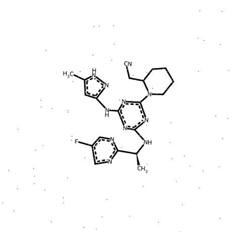 Cc1cc(Nc2nc(N[C@@H](C)c3ncc(F)cn3)nc(N3CCCCC3CC#N)n2)n[nH]1